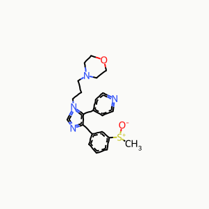 C[S+]([O-])c1cccc(-c2ncn(CCCN3CCOCC3)c2-c2ccncc2)c1